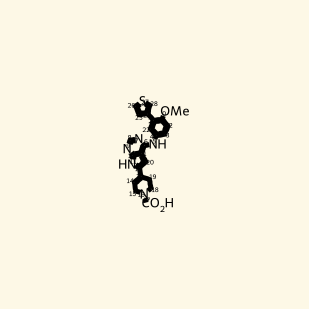 COc1ccc(Nc2ncnc3[nH]c(C4=CCN(C(=O)O)CC4)cc23)cc1-c1ccsc1